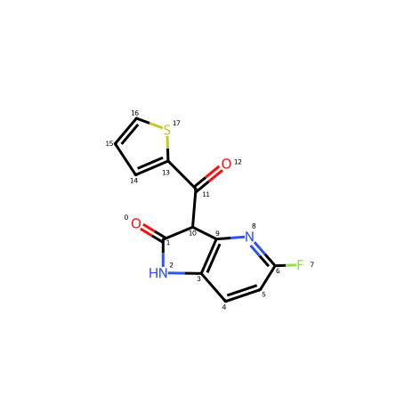 O=C1Nc2ccc(F)nc2C1C(=O)c1cccs1